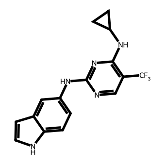 FC(F)(F)c1cnc(Nc2ccc3[nH]ccc3c2)nc1NC1CC1